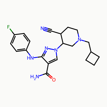 N#CC1CCN(CC2CCC2)CC1n1cc(C(N)=O)c(Nc2ccc(F)cc2)n1